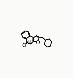 [O-][n+]1cc2oc(CC3CCCCC3)cc2c2ccccc21